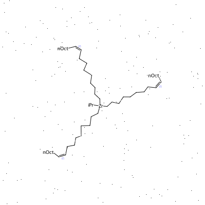 CCCCCCCC/C=C\CCCCCCC[CH2][Zr]([CH2]CCCCCCC/C=C\CCCCCCCC)([CH2]CCCCCCC/C=C\CCCCCCCC)[CH](C)C